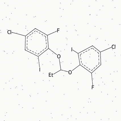 CCC(Oc1c(F)cc(Cl)cc1I)Oc1c(F)cc(Cl)cc1I